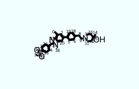 Cc1cc(-c2ccc(CCN3CCC(C)(O)CC3)cc2)cc2c1nc(-c1ccc(S(C)(=O)=O)cc1)n2C